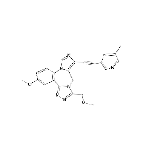 COCc1nnc2n1Cc1c(C#Cc3cncc(C)c3)ncn1-c1ccc(OC)cc1-2